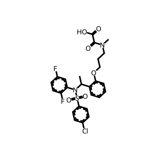 CC(c1ccccc1OCCCN(C)C(=O)C(=O)O)N(c1cc(F)ccc1F)S(=O)(=O)c1ccc(Cl)cc1